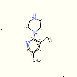 [CH2]c1cnc(N2CCNCC2)c(C)c1